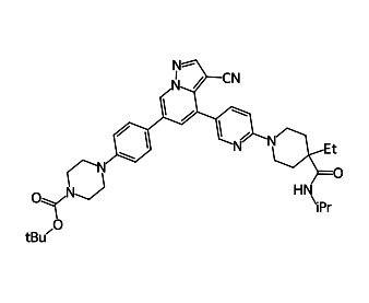 CCC1(C(=O)NC(C)C)CCN(c2ccc(-c3cc(-c4ccc(N5CCN(C(=O)OC(C)(C)C)CC5)cc4)cn4ncc(C#N)c34)cn2)CC1